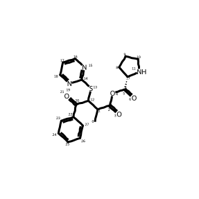 CC(C(=O)OC(=O)[C@@H]1CCCN1)C(Sc1ncccn1)C(=O)c1ccccc1